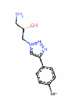 CCCc1ccc(-c2cn(C[C@@H](O)CN)nn2)cc1